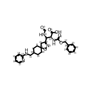 O=CNC(C1=NOC2(CCC(CNc3ccccn3)CC2)C1)[C@H](NC(=O)OCc1ccccc1)C(=O)O